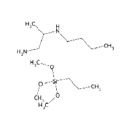 CCCCNC(C)CN.CCC[Si](OC)(OC)OC